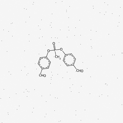 CP(=O)(Oc1ccc(C=O)cc1)Oc1ccc(C=O)cc1